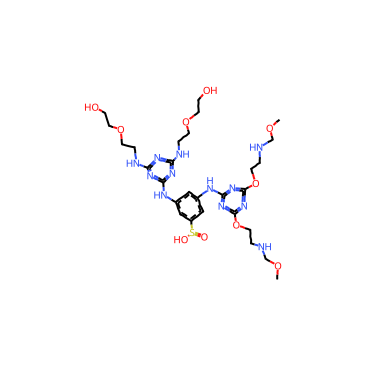 COCNCCOc1nc(Nc2cc(Nc3nc(NCCOCCO)nc(NCCOCCO)n3)cc(S(=O)O)c2)nc(OCCNCOC)n1